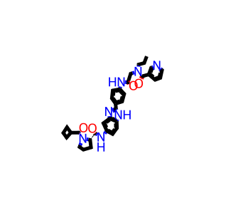 CCCN(CC(=O)Nc1ccc(-c2nc3cc(NC(=O)[C@@H]4CCCN4C(=O)C4CCC4)ccc3[nH]2)cc1)C(=O)c1cccnc1